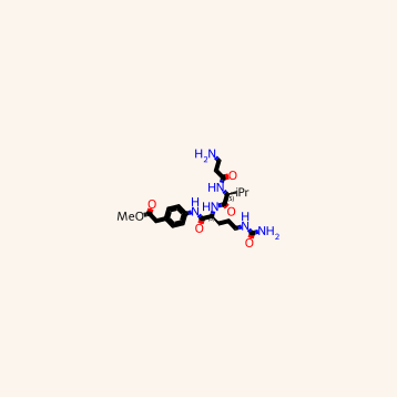 COC(=O)Cc1ccc(NC(=O)[C@H](CCCNC(N)=O)NC(=O)[C@@H](NC(=O)CCN)C(C)C)cc1